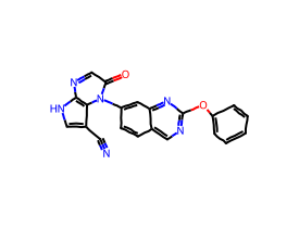 N#Cc1c[nH]c2ncc(=O)n(-c3ccc4cnc(Oc5ccccc5)nc4c3)c12